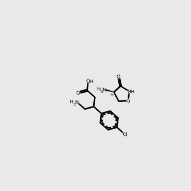 NCC(CC(=O)O)c1ccc(Cl)cc1.N[C@@H]1CONC1=O